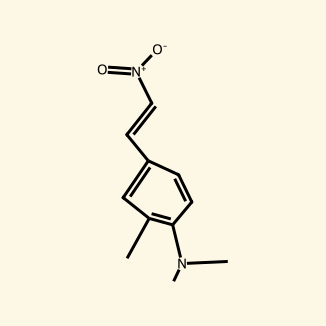 Cc1cc(/C=C/[N+](=O)[O-])ccc1N(C)C